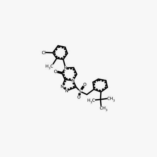 Cc1c(Cl)cccc1-n1ccn2c(S(=O)(=O)Cc3ccccc3C(C)(C)C)nnc2c1=O